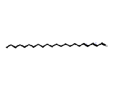 CCCCCCCCCCCCCCCCC/C=C/C=C/[C]=O